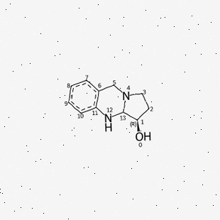 O[C@@H]1CCN2Cc3ccccc3NC12